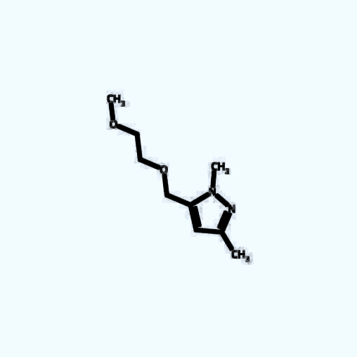 COCCOCc1cc(C)nn1C